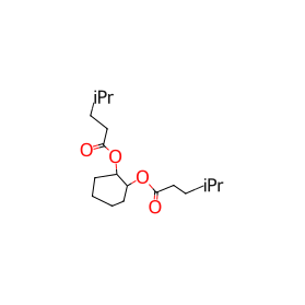 CC(C)CCC(=O)OC1CCCCC1OC(=O)CCC(C)C